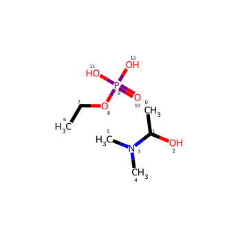 CC(O)N(C)C.CCOP(=O)(O)O